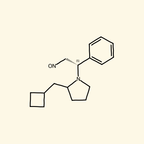 O=NC[C@H](c1ccccc1)N1CCCC1CC1CCC1